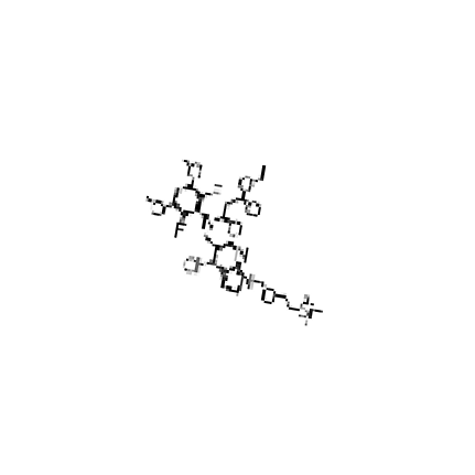 CCOC(=O)CC(=O)N(Cc1cnc2c(ccn2COCC[Si](C)(C)C)c1Cl)c1c(F)c(OC)cc(OC)c1F